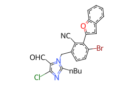 CCCCc1nc(Cl)c(C=O)n1Cc1ccc(Br)c(-c2cc3ccccc3o2)c1C#N